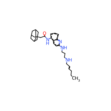 CCC/C=C/CNCCCNc1ccc2c(NC(=O)CC34CC5CC(CC(C5)C3)C4)cccc2n1